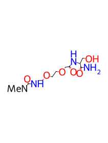 CNC(=O)NCCOCCOCC(=O)NC(CO)C(N)=O